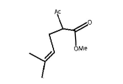 [CH2]C(C)=CCC(C(C)=O)C(=O)OC